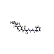 O=C(/C=C/C=C/c1ccccc1)NCC1CCC(C(=O)NO)CC1